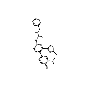 Cc1ccc(-c2nc(NC(=O)NCc3cccnc3)ncc2-c2ccc(=O)n(C(C)C)c2)o1